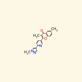 Cc1ccc2oc(-c3ccc(-c4cnn(C)c4)nc3)c(C)c(=O)c2c1